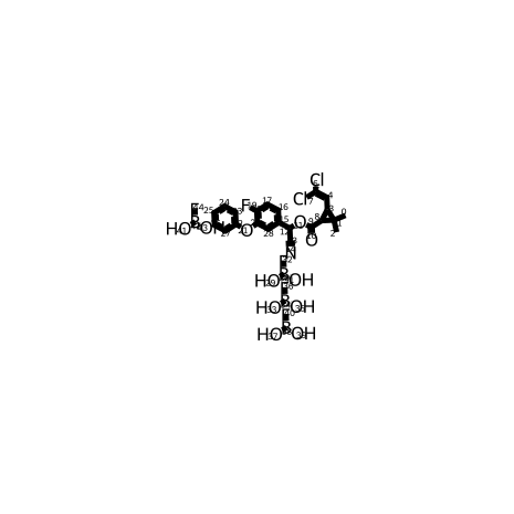 CC1(C)C(C=C(Cl)Cl)C1C(=O)OC(C#N)c1ccc(F)c(Oc2ccccc2)c1.OB(O)F.OB(O)F.OB(O)F.OB(O)F